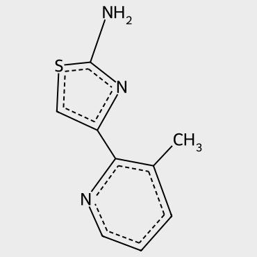 Cc1cccnc1-c1csc(N)n1